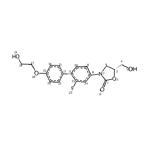 O=C1O[C@@H](CO)CN1c1ccc(-c2ccc(OCCO)cc2)c(F)c1